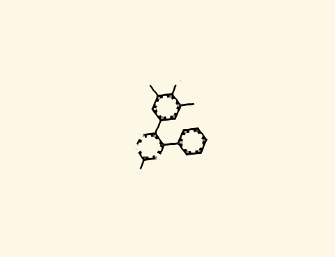 Cc1cc(-c2nnc(N)nc2-c2ccccc2)cc(C)c1O